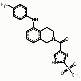 CS(=O)(=O)c1nc(C(=O)N2CCc3c(cccc3Nc3ccc(C(F)(F)F)cc3)C2)c[nH]1